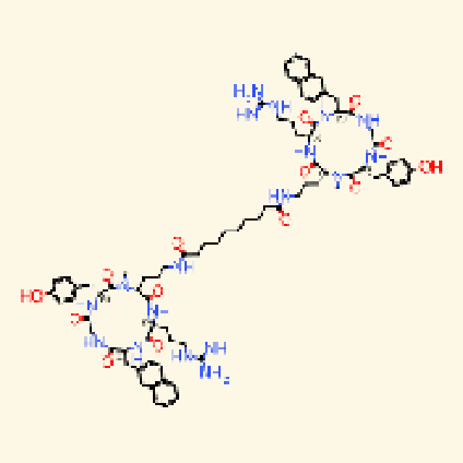 CN1C(=O)[C@@H](Cc2ccc(O)cc2)NC(=O)CNC(=O)[C@H](Cc2ccc3ccccc3c2)NC(=O)[C@H](CCCNC(=N)N)NC(=O)C1CCCNC(=O)CCCCCCCCC(=O)NCCC[C@@H]1C(=O)N[C@@H](CCCNC(=N)N)C(=O)N[C@@H](Cc2ccc3ccccc3c2)C(=O)NCC(=O)N[C@H](Cc2ccc(O)cc2)C(=O)N1C